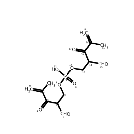 C=C(C)C(=O)C(C=O)COP(=O)(O)OCC(C=O)C(=O)C(=C)C